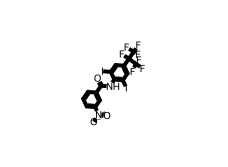 O=C(Nc1c(I)cc(C(F)(C(F)(F)F)C(F)(F)F)cc1I)c1cccc([N+](=O)[O-])c1